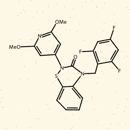 COc1cc(N2Sc3ccccc3N(Cc3c(F)cc(F)cc3F)C2=O)cc(OC)n1